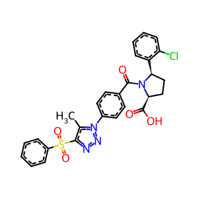 Cc1c(S(=O)(=O)c2ccccc2)nnn1-c1ccc(C(=O)N2[C@@H](c3ccccc3Cl)CC[C@H]2C(=O)O)cc1